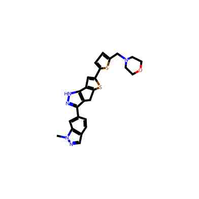 Cn1ncc2ccc(-c3n[nH]c4c3Cc3sc(-c5ccc(CN6CCOCC6)s5)cc3-4)cc21